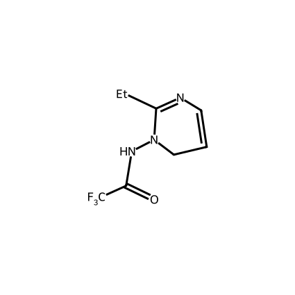 CCC1=NC=CCN1NC(=O)C(F)(F)F